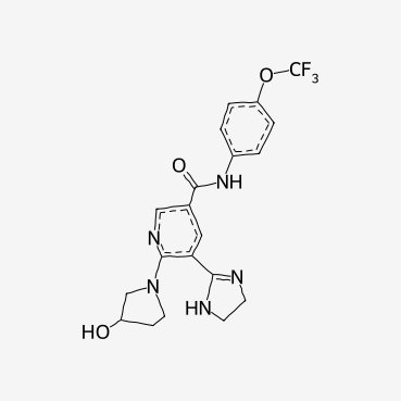 O=C(Nc1ccc(OC(F)(F)F)cc1)c1cnc(N2CCC(O)C2)c(C2=NCCN2)c1